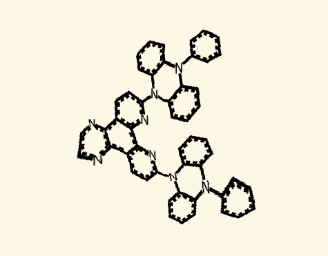 c1ccc(N2c3ccccc3N(c3ccc4c5nccnc5c5ccc(N6c7ccccc7N(c7ccccc7)c7ccccc76)nc5c4n3)c3ccccc32)cc1